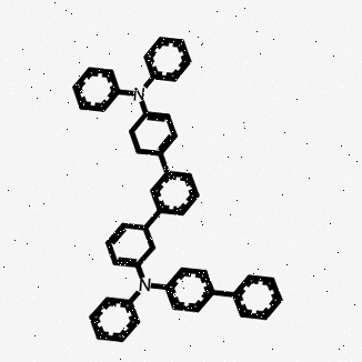 C1=CC(c2cccc(C3=CC=C(N(c4ccccc4)c4ccccc4)CC3)c2)CC(N(c2ccccc2)c2ccc(-c3ccccc3)cc2)=C1